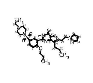 CCCOc1ccc(S(=O)(=O)N2CCN(CC)CC2)cc1-c1nc2c(CCC)n(CCn3cccn3)nc2c(=O)[nH]1